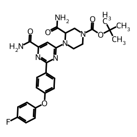 CC(C)(C)OC(=O)N1CCN(c2cc(C(N)=O)nc(-c3ccc(Oc4ccc(F)cc4)cc3)n2)C(C(N)=O)C1